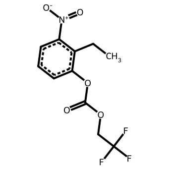 CCc1c(OC(=O)OCC(F)(F)F)cccc1[N+](=O)[O-]